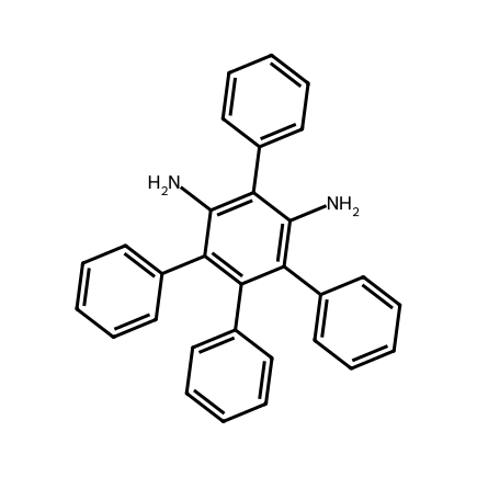 Nc1c(-c2ccccc2)c(N)c(-c2ccccc2)c(-c2ccccc2)c1-c1ccccc1